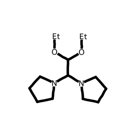 CCOC(OCC)C(N1CCCC1)N1CCCC1